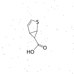 O=C(O)C1C2C=CSC21